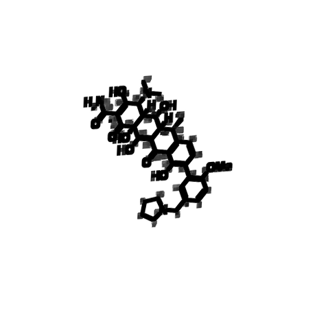 COc1ccc(CN2CCCC2)cc1-c1ccc2c(c1O)C(=O)C1=C(O)[C@]3(O)C(=O)C(C(N)=O)=C(O)[C@@H](N(C)C)[C@@H]3[C@@H](O)[C@@H]1[C@H]2C